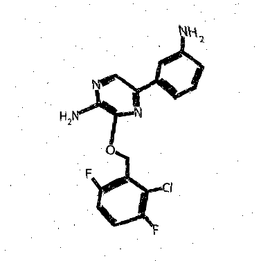 Nc1cccc(-c2cnc(N)c(OCc3c(F)ccc(F)c3Cl)n2)c1